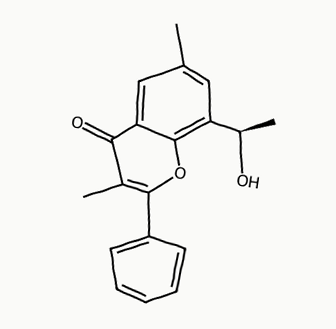 Cc1cc([C@@H](C)O)c2oc(-c3ccccc3)c(C)c(=O)c2c1